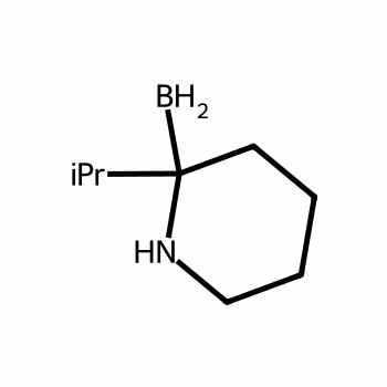 BC1(C(C)C)CCCCN1